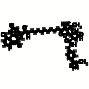 Cc1ncsc1-c1ccc(CNC(=O)[C@@H]2C[C@@H](O)CN2C(=O)C(NC(=O)CCCCCCCCCNC(=O)c2cc([N+](=O)[O-])c3n2CC(=O)N[C@@H]3c2cc(F)ccc2Cl)C(C)(C)C)cc1